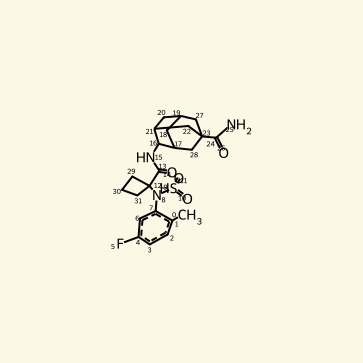 Cc1ccc(F)cc1N([SH](=O)=O)C1(C(=O)NC2C3CC4CC2CC(C(N)=O)(C4)C3)CCC1